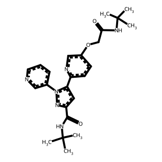 CC(C)(C)NC(=O)COc1ccc(-c2cc(C(=O)NC(C)(C)C)nn2-c2cccnc2)nc1